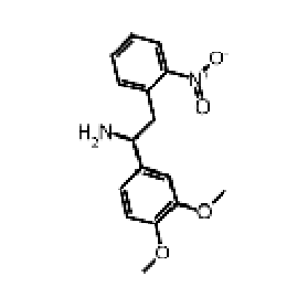 COc1ccc(C(N)Cc2ccccc2[N+](=O)[O-])cc1OC